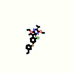 CCOC1=N[C@](C)(C(CC)c2ccc(Sc3cccc(CC)c3)cc2Cl)C(OCC)=N[C@H]1C(C)C